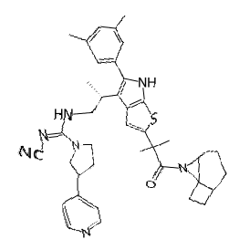 Cc1cc(C)cc(-c2[nH]c3sc(C(C)(C)C(=O)N4C5CCC6CCC654)cc3c2[C@@H](C)CN/C(=N/C#N)N2CCC(c3ccncc3)C2)c1